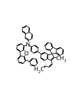 C=C/C=C\C1=C(C)C2(c3cc(-c4ccc(N(c5ccc6ccccc6c5)c5cccc6c5oc5c(-c7ccccc7)cccc56)cc4)ccc31)c1ccccc1-c1ccccc12